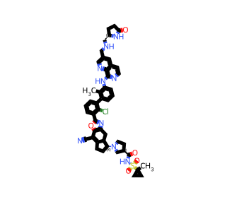 Cc1c(Nc2nccc3cc(CNC[C@@H]4CCC(=O)N4)cnc23)cccc1-c1cccc(-c2nc3c(o2)C(C#N)=C2CC[C@@H](N4CC[C@@H](C(=O)NS(=O)(=O)C5(C)CC5)C4)C2C3)c1Cl